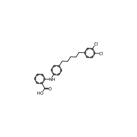 O=C(O)c1ccccc1Nc1ccc(CCCCCc2ccc(Cl)c(Cl)c2)cc1